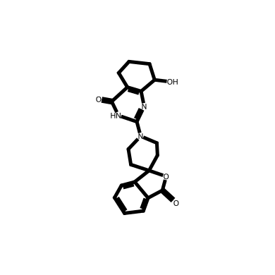 O=C1OC2(CCN(c3nc4c(c(=O)[nH]3)CCCC4O)CC2)c2ccccc21